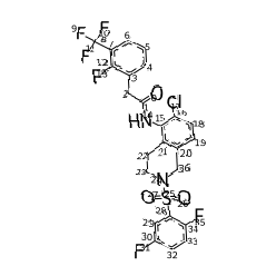 O=C(Cc1cccc(C(F)(F)F)c1F)Nc1c(Cl)ccc2c1CCN(S(=O)(=O)c1cc(F)ccc1F)C2